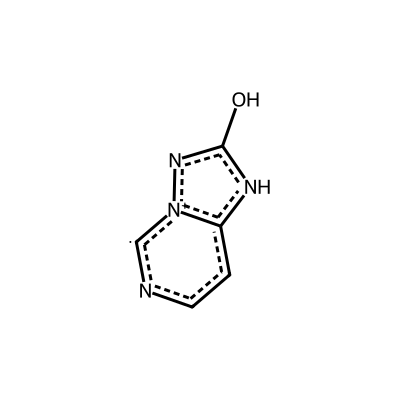 Oc1n[n+]2[c]nccc2[nH]1